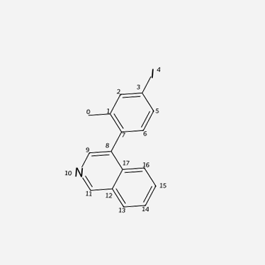 Cc1cc(I)ccc1-c1cncc2ccccc12